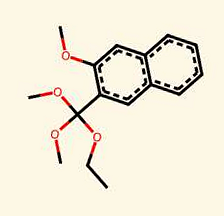 CCOC(OC)(OC)c1cc2ccccc2cc1OC